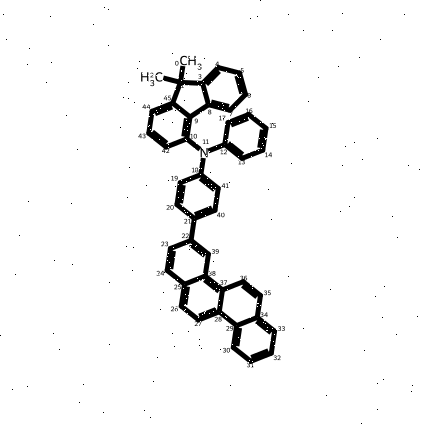 CC1(C)c2ccccc2-c2c(N(c3ccccc3)c3ccc(-c4ccc5ccc6c7ccccc7ccc6c5c4)cc3)cccc21